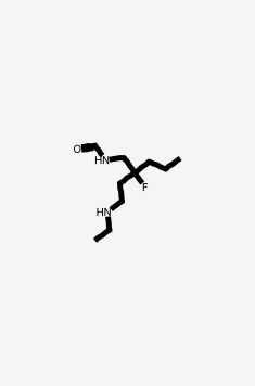 CCCC(F)(CCNCC)CNC=O